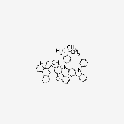 CC(C)(C)c1ccc(N(c2ccc3c4ccccc4n(-c4ccccc4)c3c2)c2cc3c(c4oc5ccccc5c24)-c2c(c4ccccc4c4ccccc24)C3(C)C)cc1